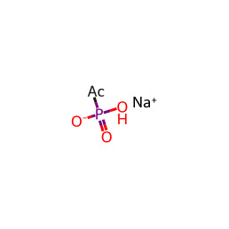 CC(=O)P(=O)([O-])O.[Na+]